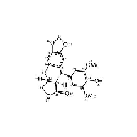 COC1=CC([C@@H]2c3cc4c(cc3C[C@H]3COC(=O)[C@@H]32)OCO4)CC(OC)=C1O